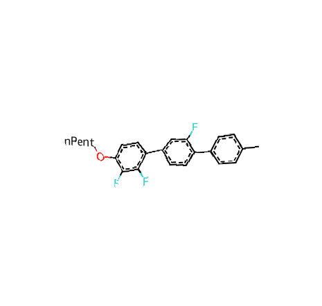 CCCCCOc1ccc(-c2ccc(-c3ccc(C)cc3)c(F)c2)c(F)c1F